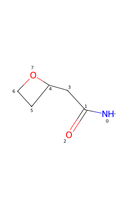 [NH]C(=O)CC1CCO1